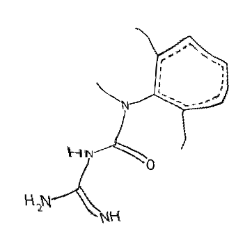 Cc1cccc(C)c1N(C)C(=O)NC(=N)N